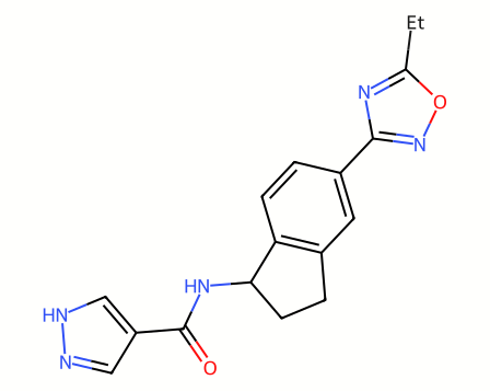 CCc1nc(-c2ccc3c(c2)CCC3NC(=O)c2cn[nH]c2)no1